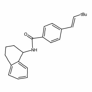 CC(C)(C)/C=C/c1ccc(C(=O)NC2CCCc3ccccc32)cc1